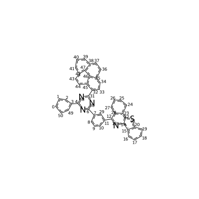 c1ccc(-c2nc(-c3cccc(-c4nc5c6ccccc6sc5c5ccccc45)c3)nc(-c3ccc4ccc5cccc6ccc3c4c56)n2)cc1